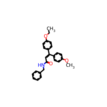 CCOc1ccc(C(=CC(=O)NCc2ccccc2)c2ccc(OC)cc2)cc1